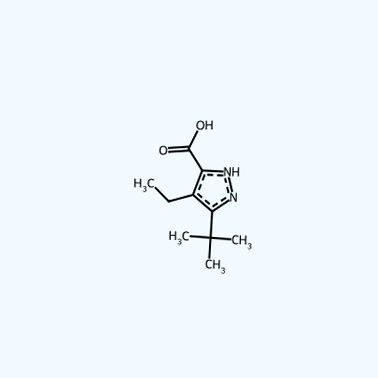 CCc1c(C(C)(C)C)n[nH]c1C(=O)O